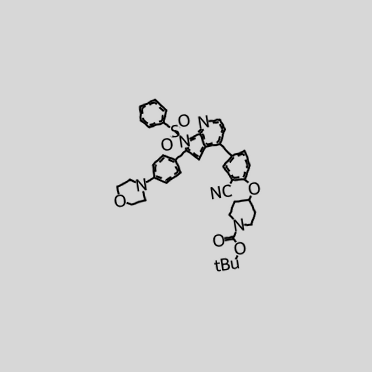 CC(C)(C)OC(=O)N1CCC(Oc2ccc(-c3ccnc4c3cc(-c3ccc(N5CCOCC5)cc3)n4S(=O)(=O)c3ccccc3)cc2C#N)CC1